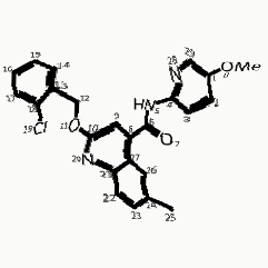 COc1ccc(NC(=O)c2cc(OCc3ccccc3Cl)nc3ccc(C)cc23)nc1